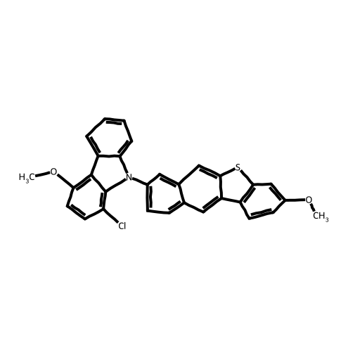 COc1ccc2c(c1)sc1cc3cc(-n4c5ccccc5c5c(OC)ccc(Cl)c54)ccc3cc12